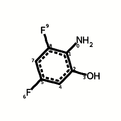 Nc1c(O)cc(F)cc1F